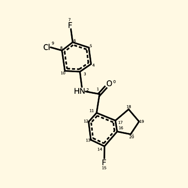 O=C(Nc1ccc(F)c(Cl)c1)c1ccc(F)c2c1CC[CH]2